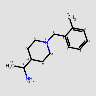 Cc1ccccc1CN1CCC(C(C)N)CC1